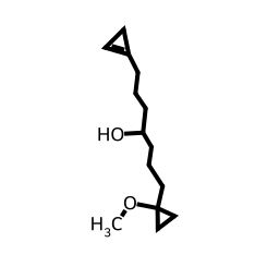 COC1(CCCC(O)CCCC2=CC2)CC1